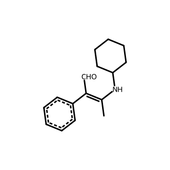 CC(NC1CCCCC1)=C(C=O)c1ccccc1